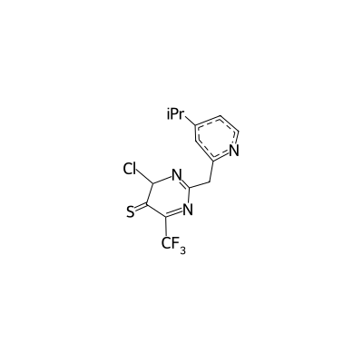 CC(C)c1ccnc(CC2=NC(Cl)C(=S)C(C(F)(F)F)=N2)c1